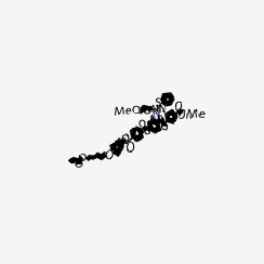 C=CC(=O)OCCCCCCOc1ccc(OC(=O)[C@H]2CC[C@H](C(=O)Oc3ccc(OC(=O)[C@H]4CC[C@H](C(=O)OC)CC4)c(/C=N/N(COCCOC)c4nc5ccccc5s4)c3)CC2)cc1